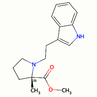 COC(=O)[C@]1(C)CCCN1CCc1c[nH]c2ccccc12